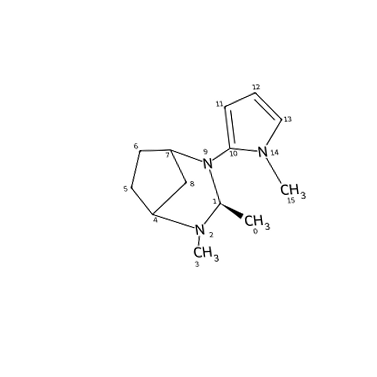 C[C@H]1N(C)C2CCC(C2)N1c1cccn1C